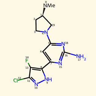 CN[C@@H]1CCN(c2cc(-c3[nH]nc(Cl)c3F)nc(N)n2)C1